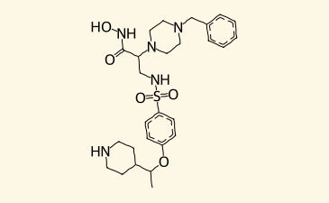 CC(Oc1ccc(S(=O)(=O)NCC(C(=O)NO)N2CCN(Cc3ccccc3)CC2)cc1)C1CCNCC1